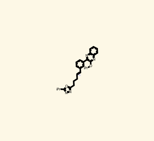 CC(C)Oc1nc2ccccc2nc1-c1cccc(/C=C/CCCc2nnc(C(C)C)o2)c1